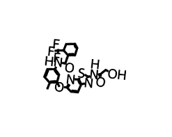 Cc1ccc(NC(=O)C2=CC=CCC2C(F)(F)F)cc1Oc1ccc2nc(NC(=O)CO)sc2n1